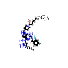 Cc1cc(Nc2nc(NCc3ccc(F)cc3F)nc3c2cnn3C2CCN(C(=O)CCCCC(=O)O)CC2)n[nH]1